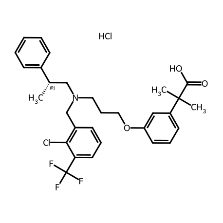 C[C@@H](CN(CCCOc1cccc(C(C)(C)C(=O)O)c1)Cc1cccc(C(F)(F)F)c1Cl)c1ccccc1.Cl